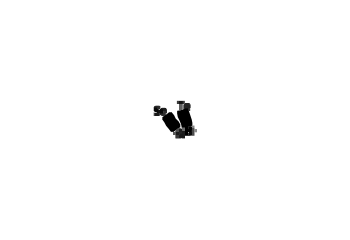 [Se]=[Bi].[Te]=[Bi]